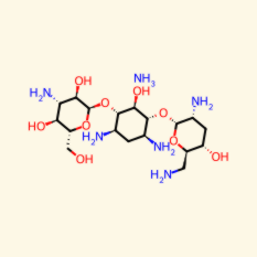 N.NC[C@H]1O[C@H](O[C@H]2[C@H](O)[C@@H](O[C@H]3O[C@H](CO)[C@@H](O)[C@H](N)[C@H]3O)[C@H](N)C[C@@H]2N)[C@H](N)C[C@@H]1O